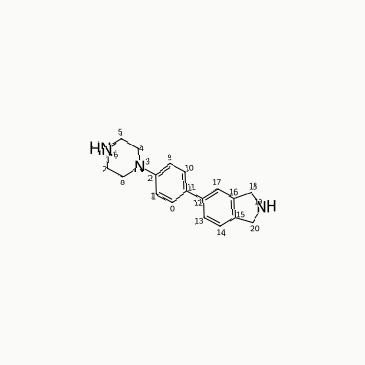 c1cc(N2CCNCC2)ccc1-c1ccc2c(c1)CNC2